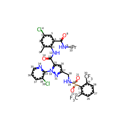 Cc1cc(Cl)cc(C(=O)NC(C)C)c1NC(=O)c1cc(CNS(=O)(=O)c2c(C(F)(F)F)cccc2C(F)(F)F)nn1-c1ncccc1Cl